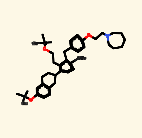 COc1c[c]c(C2CCc3cc(O[Si](C)(C)C(C)(C)C)ccc3C2)c(CCO[Si](C)(C)C(C)(C)C)c1Cc1ccc(OCCN2CCCCCC2)cc1